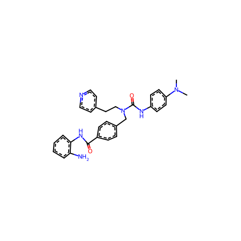 CN(C)c1ccc(NC(=O)N(CCc2ccncc2)Cc2ccc(C(=O)Nc3ccccc3N)cc2)cc1